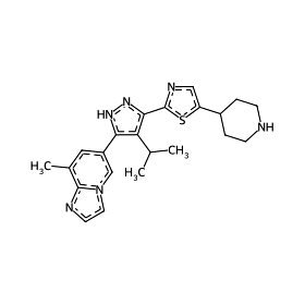 Cc1cc(-c2[nH]nc(-c3ncc(C4CCNCC4)s3)c2C(C)C)cn2ccnc12